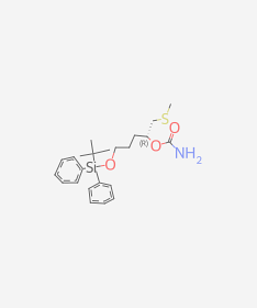 CSC[C@@H](CCCO[Si](c1ccccc1)(c1ccccc1)C(C)(C)C)OC(N)=O